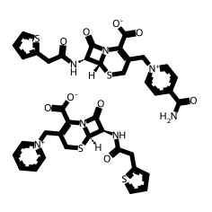 NC(=O)c1cc[n+](CC2=C(C(=O)[O-])N3C(=O)[C@@H](NC(=O)Cc4cccs4)[C@H]3SC2)cc1.O=C(Cc1cccs1)N[C@@H]1C(=O)N2C(C(=O)[O-])=C(C[n+]3ccccc3)CS[C@H]12